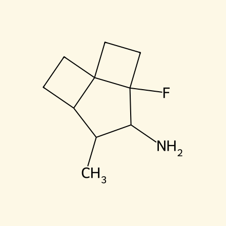 CC1C(N)C2(F)CCC23CCC13